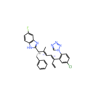 C=C/C(=C\C=C(/C)[C@H](Cc1ccccc1)c1nc2cc(F)ccc2[nH]1)c1cc(Cl)ccc1-n1cnnn1